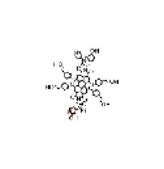 CCN(C(=O)C(Cc1ccc(O)cc1)N1C(=O)c2cc(Oc3ccc(CCO)cc3)c3c4c(Oc5ccc(CCO)cc5)cc5c6c(cc(Oc7ccc(CCO)cc7)c(c7c(Oc8ccc(CCO)cc8)cc(c2c37)C1=O)c64)C(=O)N(C(Cc1ccc(O)cc1)C(=O)N(CC)c1ccncc1)C5=O)c1ccncc1